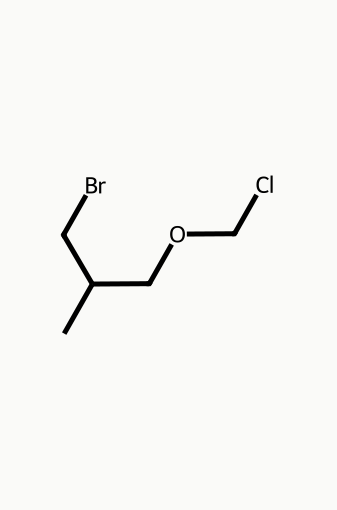 CC(CBr)COCCl